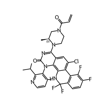 C=CC(=O)N1CCN(c2nc(=O)n(-c3c(C)ccnc3C(C)C)c3c4c(c(Cl)cc23)-c2c(ccc(F)c2F)C(F)(F)N4)[C@@H](C)C1